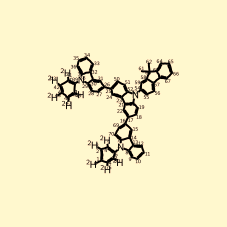 [2H]c1c([2H])c([2H])c(-n2c3ccccc3c3cc(-c4ccc5c(c4)c4cc(-c6ccc7c(c6)c6ccccc6n7-c6c([2H])c([2H])c([2H])c([2H])c6[2H])ccc4n5-c4ccc5c(c4)C(C)(C)c4ccccc4-5)ccc32)c([2H])c1[2H]